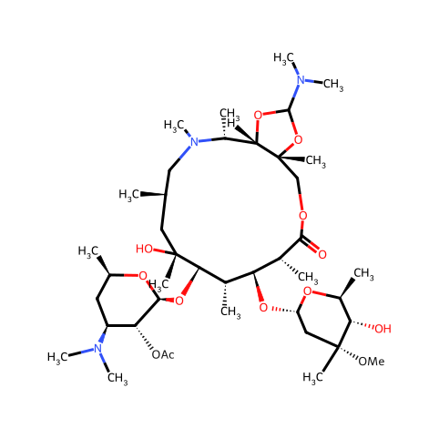 CO[C@]1(C)C[C@H](O[C@H]2[C@H](C)[C@@H](O[C@@H]3O[C@H](C)C[C@H](N(C)C)[C@H]3OC(C)=O)[C@](C)(O)C[C@@H](C)CN(C)[C@H](C)[C@@H]3OC(N(C)C)O[C@]3(C)COC(=O)[C@@H]2C)O[C@@H](C)[C@@H]1O